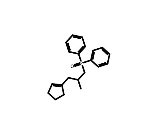 CC(CC1=CCCC1)CP(=O)(c1ccccc1)c1ccccc1